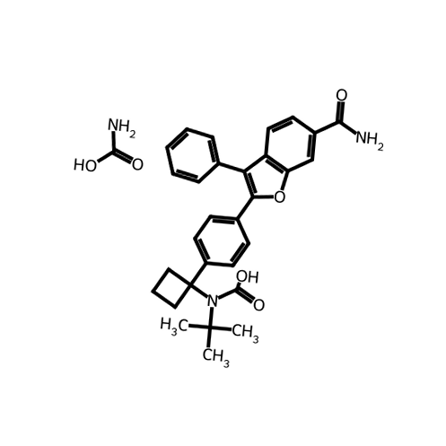 CC(C)(C)N(C(=O)O)C1(c2ccc(-c3oc4cc(C(N)=O)ccc4c3-c3ccccc3)cc2)CCC1.NC(=O)O